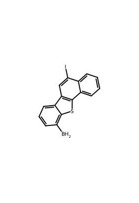 Bc1cccc2c1sc1c3ccccc3c(I)cc21